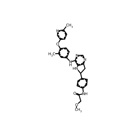 COCC(=O)Nc1ccc(C2Cc3ncnc(Nc4ccc(Oc5ccc(C)nc5)c(C)c4)c3N2)cc1